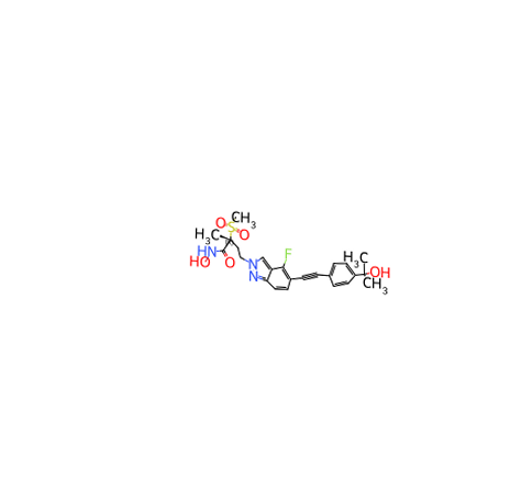 CC(C)(O)c1ccc(C#Cc2ccc3nn(CC[C@](C)(C(=O)NO)S(C)(=O)=O)cc3c2F)cc1